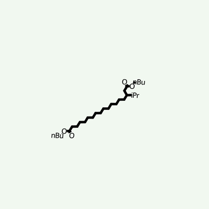 CCCCOC(=O)CCCCCCCCCCCCCCC(CC(=O)OCCCC)C(C)C